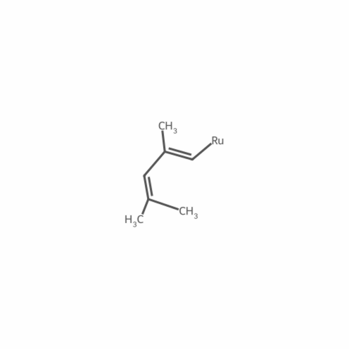 CC(C)=CC(C)=[CH][Ru]